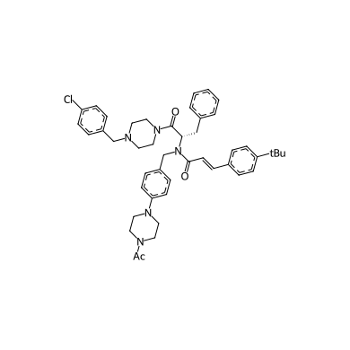 CC(=O)N1CCN(c2ccc(CN(C(=O)C=Cc3ccc(C(C)(C)C)cc3)[C@@H](Cc3ccccc3)C(=O)N3CCN(Cc4ccc(Cl)cc4)CC3)cc2)CC1